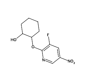 O=[N+]([O-])c1cnc(OC2CCCCC2O)c(F)c1